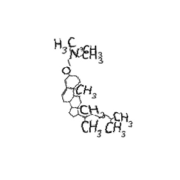 CC[N+](CC)(CC)CCOC1CCC2(C)C(=CCC3C2CCC2(C)C(C(C)CCCC(C)C)CCC32)C1